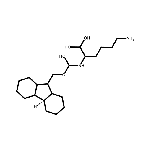 NCCCCC(NC(O)OCC1C2CCCCC2[C@@H]2CCCCC12)C(O)O